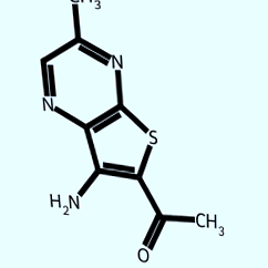 CC(=O)c1sc2nc(C)cnc2c1N